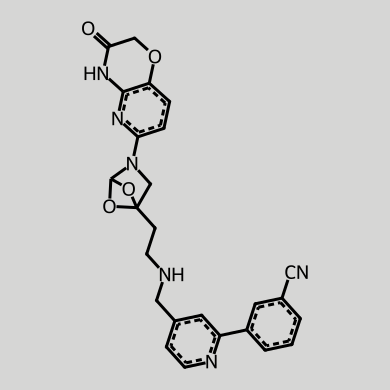 N#Cc1cccc(-c2cc(CNCCC34CN(c5ccc6c(n5)NC(=O)CO6)C(O3)O4)ccn2)c1